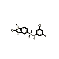 Cn1c(=O)oc2cc(S(=O)(=O)Nc3cc(F)cc(Cl)c3)ccc21